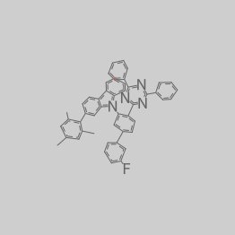 Cc1cc(C)c(-c2ccc3c4ccccc4n(-c4cc(-c5cccc(F)c5)ccc4-c4nc(-c5ccccc5)nc(-c5ccccc5)n4)c3c2)c(C)c1